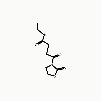 CCNC(=O)CCC(=O)N1CCSC1=S